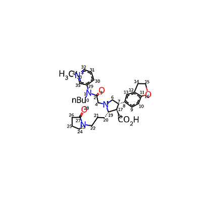 CCCCN(C(=O)CN1C[C@H](c2ccc3c(c2)CCO3)[C@@H](C(=O)O)[C@@H]1CCCN1CCCC1=O)c1ccc[n+](C)c1